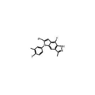 Cc1cc(-n2c(C(C)C)cc3c(F)c4[nH]nc(C)c4cc32)ccc1F